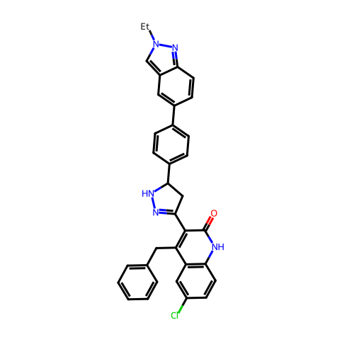 CCn1cc2cc(-c3ccc(C4CC(c5c(Cc6ccccc6)c6cc(Cl)ccc6[nH]c5=O)=NN4)cc3)ccc2n1